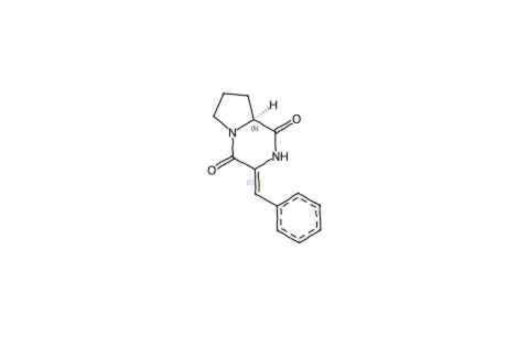 O=C1N/C(=C\c2ccccc2)C(=O)N2CCC[C@@H]12